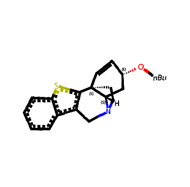 CCCCO[C@H]1C=C[C@]23CCN(Cc4c2sc2ccccc42)[C@H]3C1